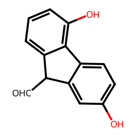 O=CC1c2cc(O)ccc2-c2c(O)cccc21